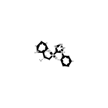 C[C@@H](CS(=O)(=O)c1nnnn1-c1ccccc1)c1ccccn1